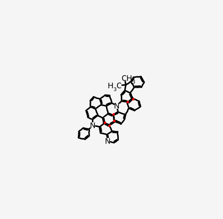 CC1(C)c2ccccc2-c2ccc(N(c3ccccc3-c3ccccc3)c3ccc4ccc5ccc(N(c6ccccc6)c6ccc7cccnc7c6)c6c7ccccc7c3c4c56)cc21